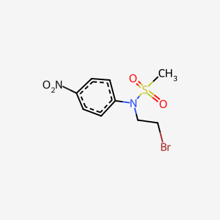 CS(=O)(=O)N(CCBr)c1ccc([N+](=O)[O-])cc1